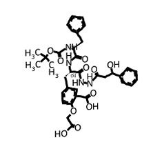 CC(C)(C)OC(=O)N[C@@H](Cc1ccccc1)C(=O)N[C@@H](Cc1ccc(OCC(=O)O)c(C(=O)O)c1)C(=O)NNC(=O)CC(O)c1ccccc1